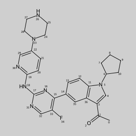 CC(=O)c1cn(C2CCCC2)c2ccc(-c3nc(Nc4ccc(N5CCNCC5)cn4)ncc3F)cc12